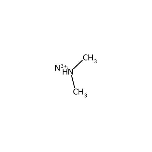 CNC.[N+3]